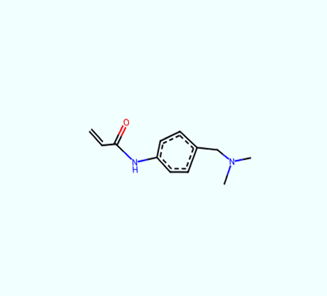 C=CC(=O)Nc1ccc(CN(C)C)cc1